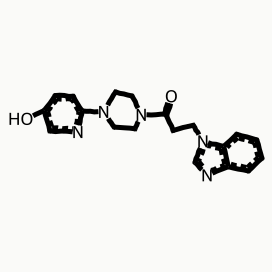 O=C(CCn1cnc2ccccc21)N1CCN(c2ccc(O)cn2)CC1